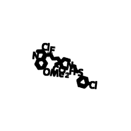 COc1ccc2ncc(Cl)c([C@@H](F)CCC3(CC(=O)O)CCN(CCSc4cccc(Cl)c4)CC3)c2c1